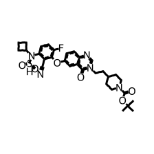 CC(C)(C)OC(=O)N1CCC(CCn2cnc3ccc(Oc4c(F)ccc(N(C5CCC5)[SH](=O)=O)c4C#N)cc3c2=O)CC1